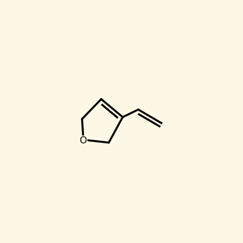 C=CC1=CCOC1